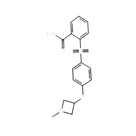 CN1CC(Oc2ccc(S(=O)(=O)c3ccccc3C(N)=O)cc2)C1